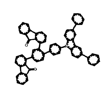 O=C1c2ccccc2-c2cccc(-c3ccc(-c4ccc(-n5c6ccc(-c7ccccc7)cc6c6cc(-c7ccccc7)ccc65)cc4)c(-c4cccc5c4C(=O)c4ccccc4-5)c3)c21